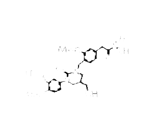 CCCCCOc1cc(N2CC(CO)CN(Cc3ccc(CC(=O)N(C)C)cc3OC)C2=O)ccc1OC